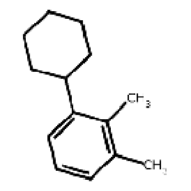 Cc1cccc(C2CCCCC2)c1C